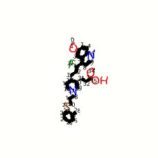 COc1ccc2nccc([C@H](F)CC[C@@H]3CCN(CCCSc4ccccc4C)C[C@H]3CCC(=O)O)c2c1